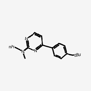 CCCN(C)c1nccc(-c2ccc(C(C)(C)C)cc2)n1